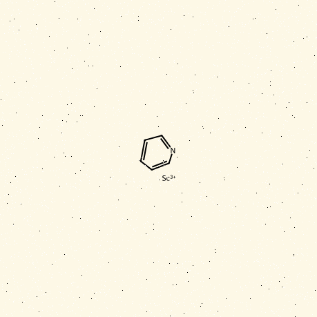 [Sc+3].c1ccncc1